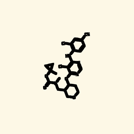 CN(CC1COCCC1Oc1ncnc(Nc2ccc(C#N)cc2Cl)c1Cl)C(=O)OC1(C)CC1